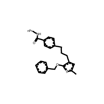 CCCNC(=O)c1ccc(CCCc2cc(C)sc2OCc2ccccc2)cc1